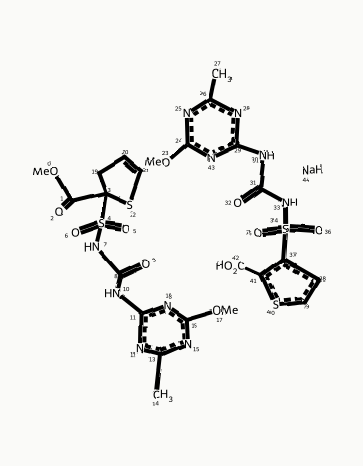 COC(=O)C1(S(=O)(=O)NC(=O)Nc2nc(C)nc(OC)n2)CC=CS1.COc1nc(C)nc(NC(=O)NS(=O)(=O)c2ccsc2C(=O)O)n1.[NaH]